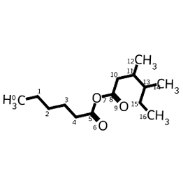 CCCCCC(=O)OC(=O)CC(C)C(C)CC